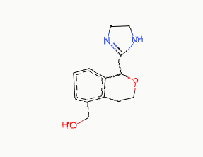 OCc1cccc2c1CCOC2C1=NCCN1